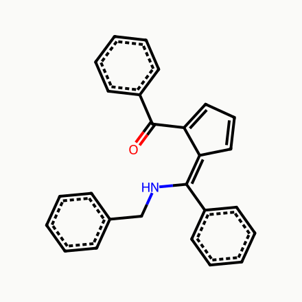 O=C(C1=CC=CC1=C(NCc1ccccc1)c1ccccc1)c1ccccc1